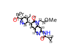 CCCC(=O)c1cc(C)c(-c2cc3cnc(NC(=O)C4CC4)cc3n(CCOC)c2=O)cn1